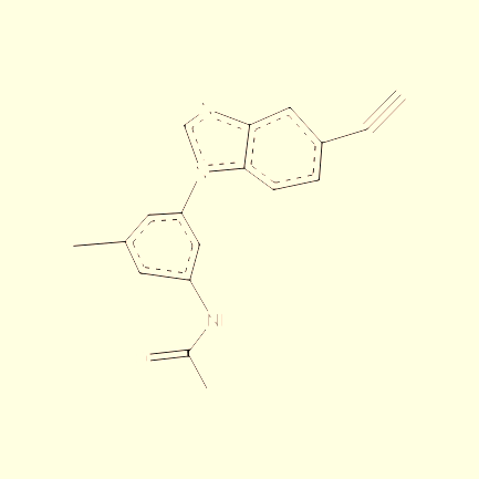 C#Cc1ccc2c(c1)ncn2-c1cc(C)cc(NC(C)=O)c1